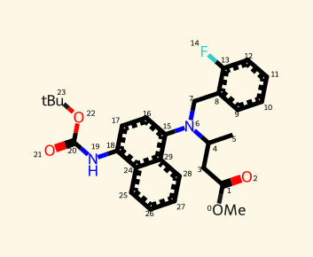 COC(=O)CC(C)N(Cc1ccccc1F)c1ccc(NC(=O)OC(C)(C)C)c2ccccc12